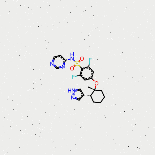 C[C@@]1(Oc2cc(F)c(S(=O)(=O)Nc3ccncn3)c(F)c2)CCCC[C@@H]1c1cn[nH]c1